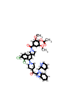 COc1cc(C(=O)N2CCC(CCN3CCC(C(=O)c4nc5ccccc5n4Cc4ccccn4)CC3)(c3ccc(Cl)c(Cl)c3)C2)cc(OC)c1OC(C)=O